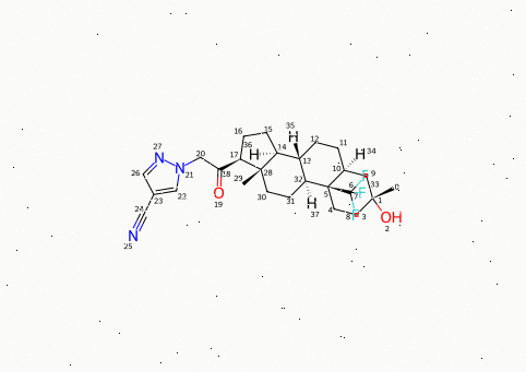 C[C@@]1(O)CC[C@@]2(C(F)(F)F)[C@@H](CC[C@H]3[C@@H]4CC[C@H](C(=O)Cn5cc(C#N)cn5)[C@@]4(C)CC[C@@H]32)C1